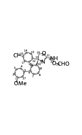 COc1cccc(-c2cccc([C@@]3(c4ccc(Cl)cc4)COC(NOC=O)=N3)c2)c1